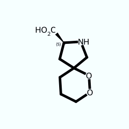 O=C(O)[C@@H]1CC2(CCCOO2)CN1